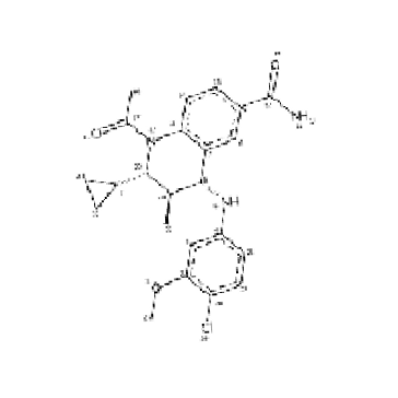 COc1cc(N[C@H]2c3cc(C(N)=O)ccc3N(C(C)=O)[C@@H](C3CC3)[C@@H]2C)ccc1Cl